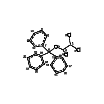 ClC(Cl)C(Cl)OC(c1ccccc1)(c1ccccc1)c1ccccc1